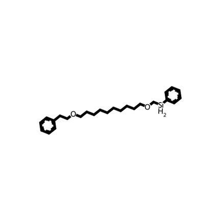 c1ccc(CCOCCCCCCCCCCOC[SiH2]c2ccccc2)cc1